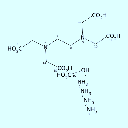 N.N.N.N.O=C(O)CN(CCN(CC(=O)O)CC(=O)O)CC(=O)O.O=C(O)O